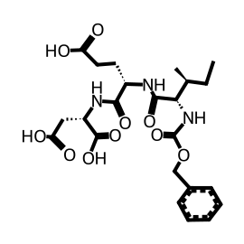 CC[C@H](C)[C@H](NC(=O)OCc1ccccc1)C(=O)N[C@@H](CCC(=O)O)C(=O)N[C@@H](CC(=O)O)C(=O)O